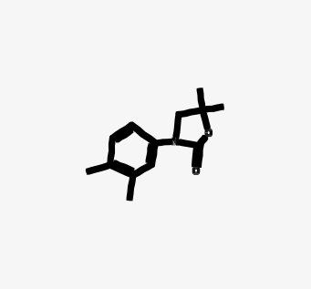 Cc1ccc(N2CC(C)(C)OC2=O)cc1C